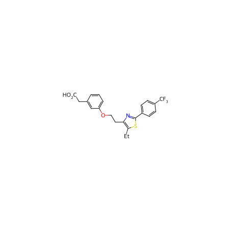 CCc1sc(-c2ccc(C(F)(F)F)cc2)nc1CCOc1cccc(CC(=O)O)c1